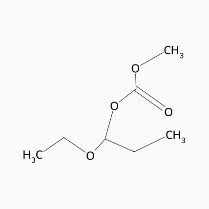 CCOC(CC)OC(=O)OC